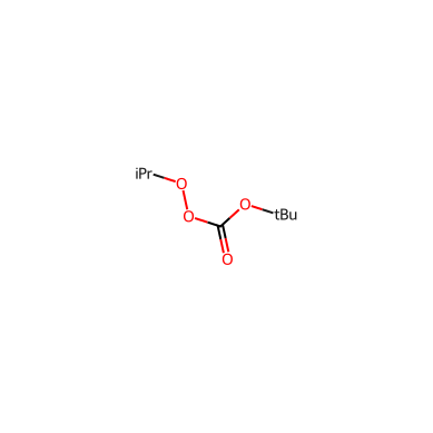 CC(C)OOC(=O)OC(C)(C)C